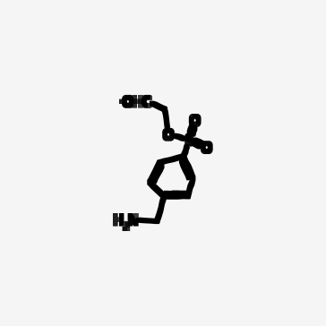 NCc1ccc(S(=O)(=O)OC[C]=O)cc1